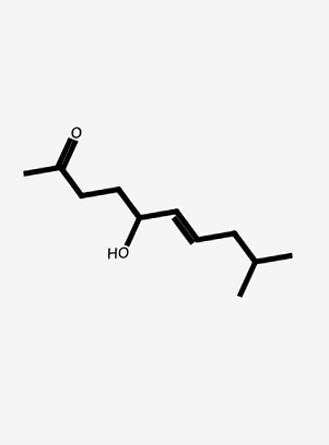 CC(=O)CCC(O)C=CCC(C)C